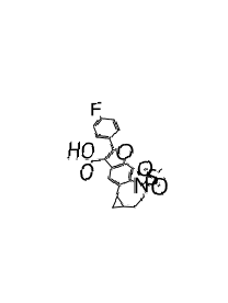 CS(=O)(=O)N1CCC2CC2c2cc3c(C(=O)O)c(-c4ccc(F)cc4)oc3cc21